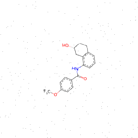 O=C(Nc1cccc2c1C[C@H](O)CC2)c1ccc(OC(F)(F)F)cc1